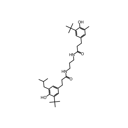 Cc1cc(CCC(=O)NCCCNC(=O)CCc2cc(CC(C)C)c(O)c(C(C)(C)C)c2)cc(C(C)(C)C)c1O